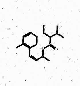 CCC(C(=O)NC(C)/C=C\C1=C(C)C=CCC1)C(C)C